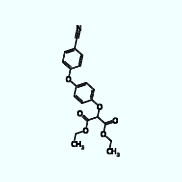 CCOC(=O)C(Oc1ccc(Oc2ccc(C#N)cc2)cc1)C(=O)OCC